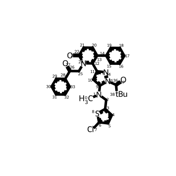 CN(Cc1ccc(Cl)s1)c1cc(-c2c(-c3ccccc3)ccc(=O)n2CC(=O)c2ccccc2)nn1C(=O)C(C)(C)C